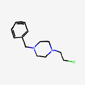 ClCCN1CCN(Cc2ccccc2)CC1